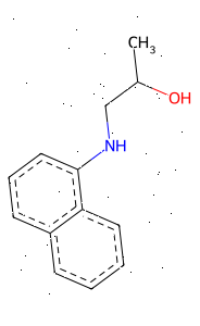 CC(O)CNc1cccc2ccccc12